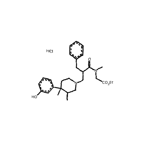 CCOC(=O)CN(C)C(=O)C(Cc1ccccc1)CN1CCC(C)(c2cccc(O)c2)C(C)C1.Cl